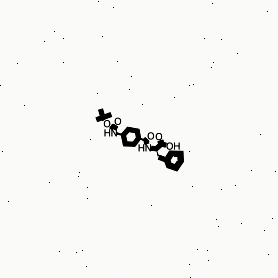 CC(C)(C)OC(=O)N[C@H]1CC[C@@H](C(=O)N[C@@H](Cc2ccccc2)C(=O)O)CC1